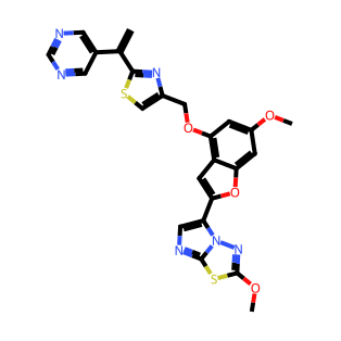 C=C(c1cncnc1)c1nc(COc2cc(OC)cc3oc(-c4cnc5sc(OC)nn45)cc23)cs1